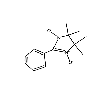 CC1(C)N([O])C(c2ccccc2)=[N+]([O-])C1(C)C